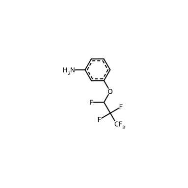 Nc1cccc(OC(F)C(F)(F)C(F)(F)F)c1